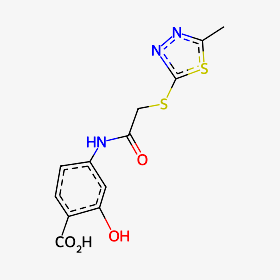 Cc1nnc(SCC(=O)Nc2ccc(C(=O)O)c(O)c2)s1